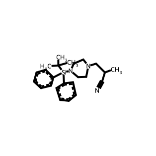 CC(C#N)CN1CCN([Si](c2ccccc2)(c2ccccc2)C(C)(C)C)CC1